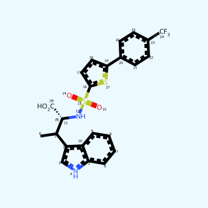 CC(c1c[nH]c2ccccc12)[C@@H](NS(=O)(=O)c1ccc(-c2ccc(C(F)(F)F)cc2)s1)C(=O)O